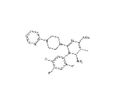 CNC1=C(C)C(N)N(c2cc(F)c(F)cc2F)C(N2CCN(c3ccccn3)CC2)=N1